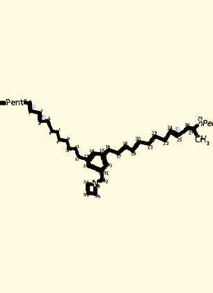 CCCCC/C=C/C=C/CCCCCCCCc1cc(CCCCCCCC/C=C/CC(C)CCCCC)cc(CN2CCC2)c1